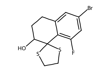 OC1CCc2cc(Br)cc(F)c2C12SCCS2